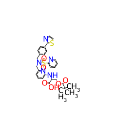 CC(C)(C)C(=O)OCC(Nc1cccc(CN(Cc2ccc(-c3nccs3)cc2)S(=O)(=O)c2ccccn2)n1)C(=O)O